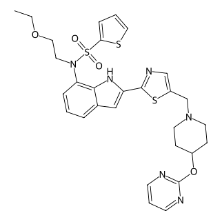 CCOCCN(c1cccc2cc(-c3ncc(CN4CCC(Oc5ncccn5)CC4)s3)[nH]c12)S(=O)(=O)c1cccs1